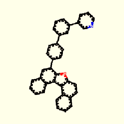 c1cncc(-c2cccc(-c3ccc(-c4cc5ccccc5c5c4oc4ccc6ccccc6c45)cc3)c2)c1